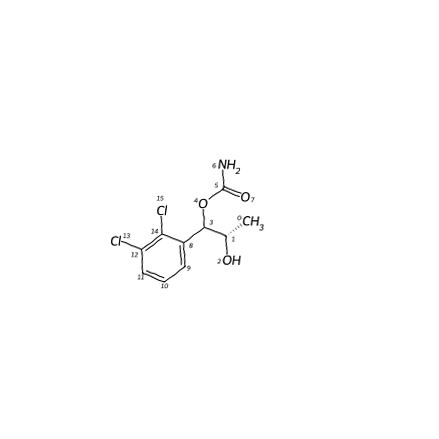 C[C@H](O)C(OC(N)=O)c1cccc(Cl)c1Cl